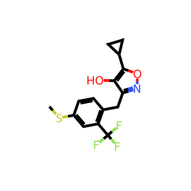 CSc1ccc(Cc2noc(C3CC3)c2O)c(C(F)(F)F)c1